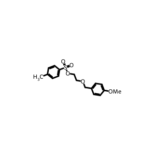 COc1ccc(COCCOS(=O)(=O)c2ccc(C)cc2)cc1